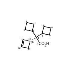 O=C(O)C(C1CCC1)(C1CCC1)[C@H]1C=CC1